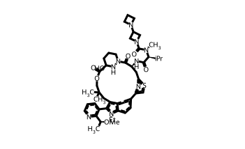 CCn1c(-c2cccnc2[C@H](C)OC)c2c3cc(ccc31)-c1csc(n1)C[C@H](NC(=O)[C@H](C(C)C)N(C)C(=O)N1CC(N3CCC3)C1)C(=O)N1CCC[C@@](O)(N1)C(=O)OCC(C)(C)C2